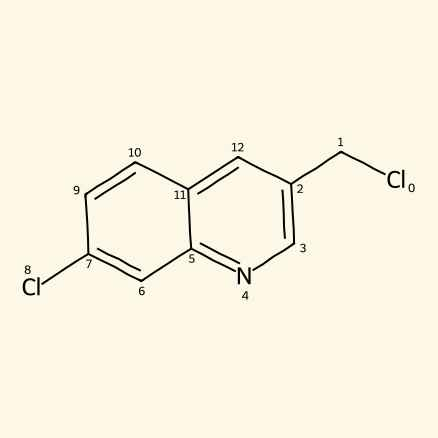 ClCc1cnc2cc(Cl)ccc2c1